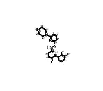 Cc1c(F)cccc1-c1nc(NSc2cccc(N3CCNCC3)n2)ccc1Cl